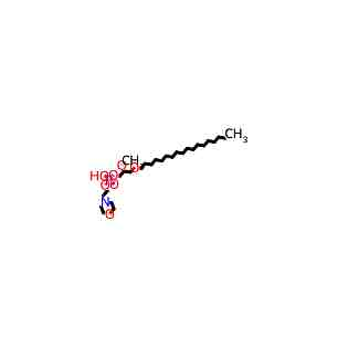 CCCCCCCCCCCCCCCCCCOCC(COP(=O)(O)OCCN1CCOCC1)OC